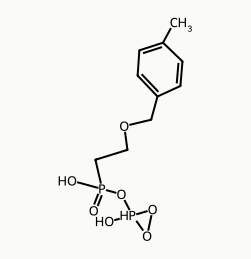 Cc1ccc(COCCP(=O)(O)O[PH]2(O)OO2)cc1